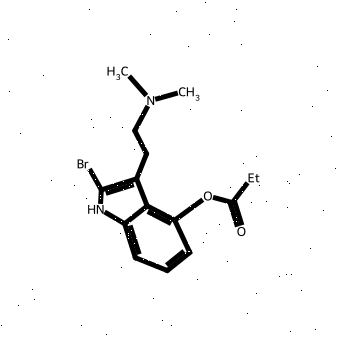 CCC(=O)Oc1cccc2[nH]c(Br)c(CCN(C)C)c12